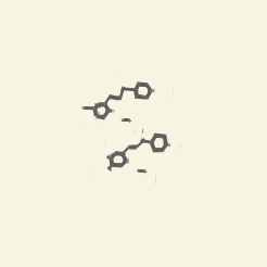 CCCOc1cc(O)c(C)cc1C=CC(=O)c1ccc(O)cc1.CCCOc1cc(O)c(CC)cc1C=CC(=O)c1ccc(O)cc1